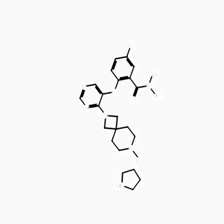 CC(C)N(C(=O)c1cc(F)ccc1Oc1cncnc1N1CC2(CCN(C[C@@H]3CCNC3)CC2)C1)C(C)C